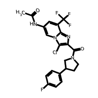 CC(=O)Nc1cc(C(F)(F)F)c2nc(C(=O)N3CCC(c4ccc(F)cc4)C3)c(Cl)n2c1